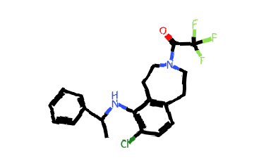 CC(Nc1c(Cl)ccc2c1CCN(C(=O)C(F)(F)F)CC2)c1ccccc1